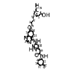 CCN(CCO)CCCCOc1ccc2c(Nc3cc(CC(=O)Nc4cccc(F)c4)[nH]n3)ncnc2c1